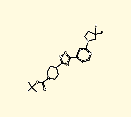 CC(C)(C)OC(=O)N1CCC(c2noc(-c3ccnc(N4CCC(F)(F)C4)c3)n2)CC1